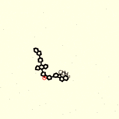 CC1(C)c2ccc(-c3ccc4oc5ccc(-c6c7ccccc7c(-c7ccc(-c8ccc9ccccc9c8)cc7)c7ccccc67)cc5c4c3)cc2-c2ccc3ccccc3c21